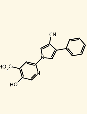 N#Cc1cn(-c2cc(C(=O)O)c(O)cn2)cc1-c1ccccc1